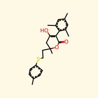 Cc1ccc(SCCC2(C)CC(O)=C(c3c(C)cc(C)cc3C)C(=O)O2)cc1